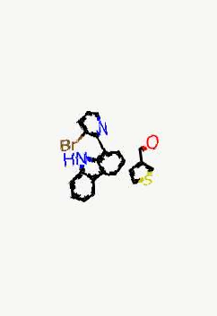 Brc1cccnc1-c1cccc2c1[nH]c1ccccc12.O=Cc1ccsc1